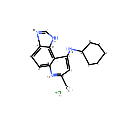 Cc1cc(NC2CCCCC2)c2c(ccc3nc[nH]c32)n1.Cl